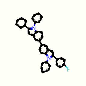 Fc1ccc(-c2cc3cc(-c4ccc5c(c4)cc(-c4ccccc4)n5-c4ccccc4)ccc3n2-c2ccccc2)cc1